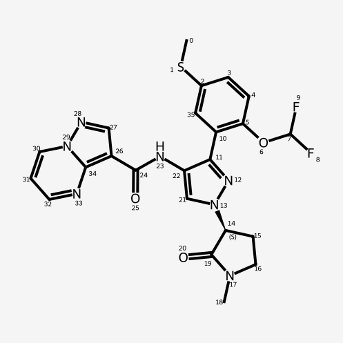 CSc1ccc(OC(F)F)c(-c2nn([C@H]3CCN(C)C3=O)cc2NC(=O)c2cnn3cccnc23)c1